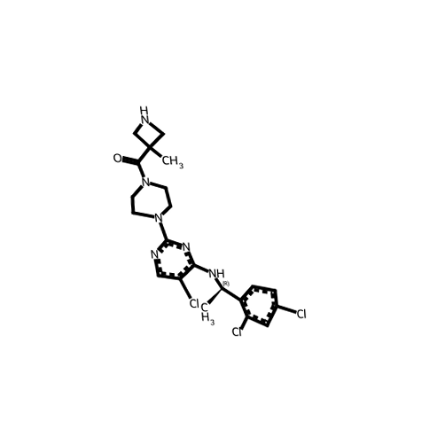 C[C@@H](Nc1nc(N2CCN(C(=O)C3(C)CNC3)CC2)ncc1Cl)c1ccc(Cl)cc1Cl